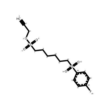 C#CCOS(=O)(=O)CCCCCCS(=O)(=O)c1ccc(F)cc1